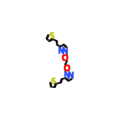 C(=C\c1cccs1)/c1ccn(COCCOCn2nccc2/C=C/c2cccs2)n1